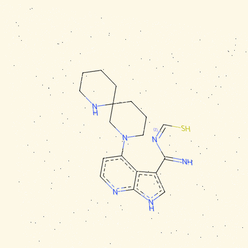 N=C(/N=C\S)c1c[nH]c2nccc(N3CCCC4(CCCCN4)C3)c12